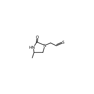 CC1CN(CC=S)C(=O)N1